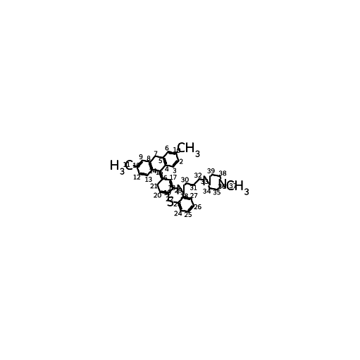 Cc1ccc2c(c1)Cc1cc(C)ccc1C2=C1C=C2C(=CC1)Sc1ccccc1N2CCCN1CCN(C)CC1